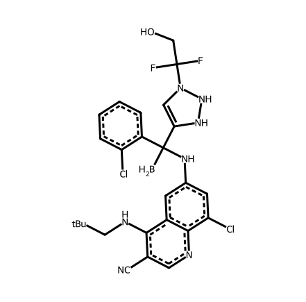 BC(Nc1cc(Cl)c2ncc(C#N)c(NCC(C)(C)C)c2c1)(C1=CN(C(F)(F)CO)NN1)c1ccccc1Cl